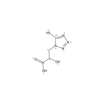 O=C(O)C(O)Cn1nnnc1S